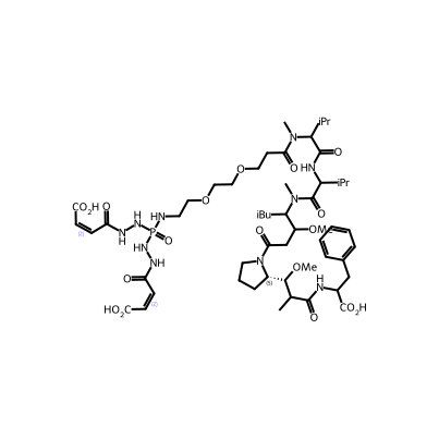 CCC(C)C(C(CC(=O)N1CCC[C@H]1C(OC)C(C)C(=O)NC(Cc1ccccc1)C(=O)O)OC)N(C)C(=O)C(NC(=O)C(C(C)C)N(C)C(=O)CCOCCOCCNP(=O)(NNC(=O)/C=C\C(=O)O)NNC(=O)/C=C\C(=O)O)C(C)C